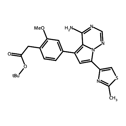 COc1cc(-c2cc(-c3csc(C)n3)n3ncnc(N)c23)ccc1CC(=O)OC(C)(C)C